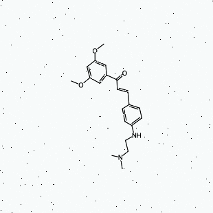 COc1cc(OC)cc(C(=O)C=Cc2ccc(NCCN(C)C)cc2)c1